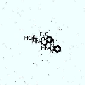 CC(C)(O)CNC(=O)CC(Nc1nc2ccccc2[nH]1)c1cccc(C(F)(F)F)c1